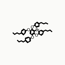 CCCCc1ccc(Oc2cc(Oc3ccc(CCCC)cc3)c(Oc3ccc(CCCC)cc3)c(Br)c2Oc2ccc(CCCC)cc2)cc1